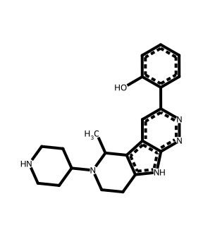 CC1c2c([nH]c3nnc(-c4ccccc4O)cc23)CCN1C1CCNCC1